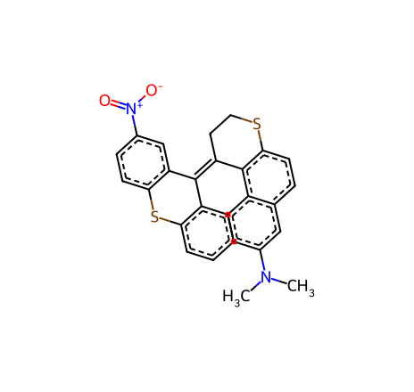 CN(C)c1ccc2c3c(ccc2c1)SCC/C3=C1/c2ccccc2Sc2ccc([N+](=O)[O-])cc21